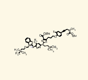 COC(=O)c1nc(N(CCN(C)C)c2cc(C)c(/N=c3\sc4ccccc4n3COCC[Si](C)(C)C)nn2)sc1CCCOc1ccc(C#CCN(C)C(=O)OC(C)(C)C)cc1F